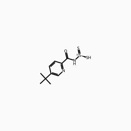 CC(C)(C)c1ccc(C(=O)N[S@@](=S)S)nc1